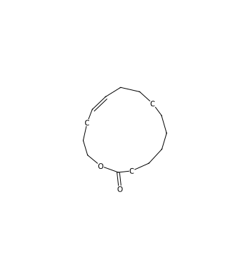 O=C1CCCCCCCCC=CCCCO1